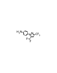 Nc1ccc(-n2nc(C(F)(F)F)cc2C(F)F)cc1